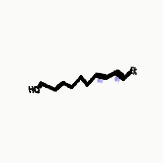 CC/C=C/C=C/CCCCCCO